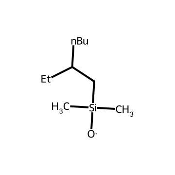 CCCCC(CC)C[Si](C)(C)[O]